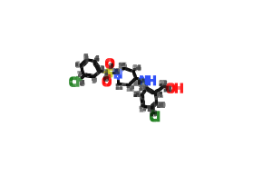 O=S(=O)(c1cccc(Cl)c1)N1CCC(Nc2ccc(Cl)cc2CO)CC1